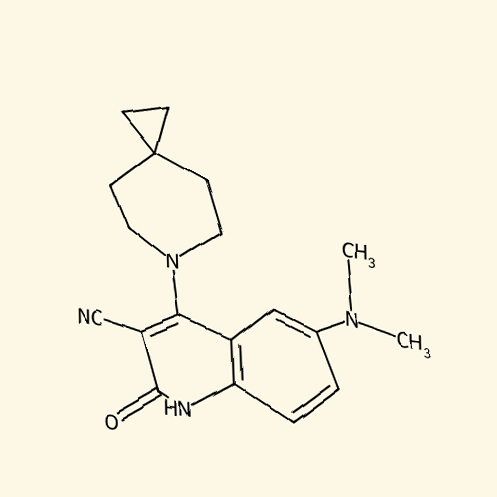 CN(C)c1ccc2[nH]c(=O)c(C#N)c(N3CCC4(CC3)CC4)c2c1